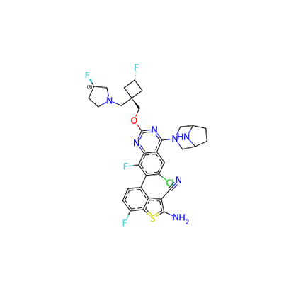 N#Cc1c(N)sc2c(F)ccc(-c3c(Cl)cc4c(N5CC6CCC(C5)N6)nc(OC[C@]5(CN6CC[C@@H](F)C6)C[C@@H](F)C5)nc4c3F)c12